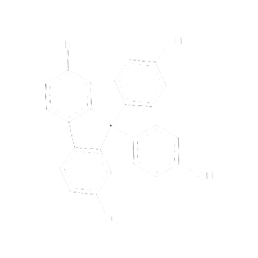 Oc1ccc(C2(c3ccc(O)cc3)c3cc(Br)ccc3-c3ccc(Br)cc32)cc1